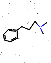 CN(C)CCCc1[c]cccc1